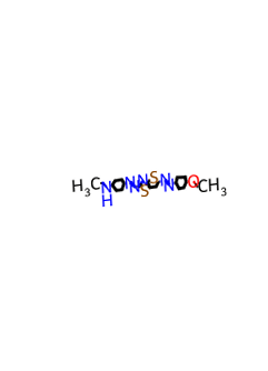 CCNc1ccc(N=Nc2nc3sc(N=Nc4ccc(OCC)cc4)cc3s2)cc1